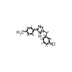 Cc1ccc(C2=NCN(Cc3cccc(Cl)c3)N2)cc1